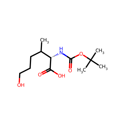 CC(CCCO)[C@H](NC(=O)OC(C)(C)C)C(=O)O